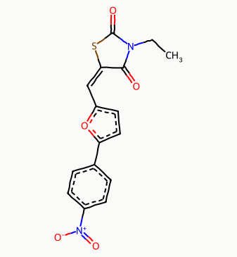 CCN1C(=O)SC(=Cc2ccc(-c3ccc([N+](=O)[O-])cc3)o2)C1=O